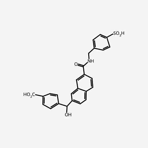 O=C(O)c1ccc(C(O)c2ccc3ccc(C(=O)NCc4ccc(S(=O)(=O)O)cc4)cc3c2)cc1